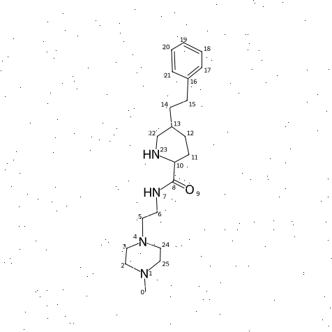 CN1CCN(CCNC(=O)C2CCC(CCc3ccccc3)CN2)CC1